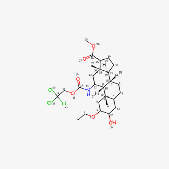 CCOC1C[C@@]2(C)C(CC[C@@H]3[C@H]2C(NC(=O)OCC(Cl)(Cl)Cl)C[C@]2(C)C(C(=O)OC)CC[C@@H]32)CC1O